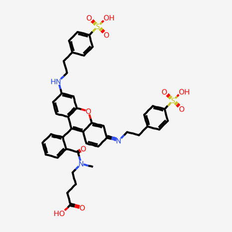 CN(CCCC(=O)O)C(=O)c1ccccc1-c1c2cc/c(=N/CCc3ccc(S(=O)(=O)O)cc3)cc-2oc2cc(NCCc3ccc(S(=O)(=O)O)cc3)ccc12